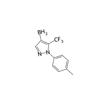 Bc1cnn(-c2ccc(C)cc2)c1C(F)(F)F